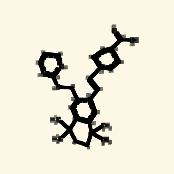 CC1(C)CCC(C)(C)c2cc(CSc3ncccn3)c(/C=C/c3ccc(C(=O)O)cc3)cc21